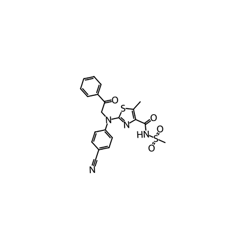 Cc1sc(N(CC(=O)c2ccccc2)c2ccc(C#N)cc2)nc1C(=O)NS(C)(=O)=O